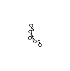 c1ccc(Sc2cccc(Sc3ccccc3Sc3cccc(Sc4ccccc4)c3)c2)cc1